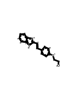 ClCCOc1ccc(C=Cc2nc3ccccc3s2)cc1